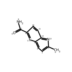 Cc1ccc2nc(C(N)=O)c[c]c2n1